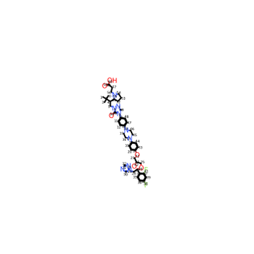 CC(C)(C)C(Cn1ncn(-c2ccc(N3CCN(c4ccc(OCC5COC(Cn6cncn6)(c6ccc(F)cc6F)O5)cc4)CC3)cc2)c1=O)C1CCCN1CCC(=O)O